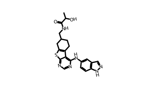 CC(O)C(=O)NCC1CCc2c(sc3ncnc(Nc4ccc5[nH]ncc5c4)c23)C1